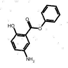 Nc1ccc(O)c(C(=O)Oc2ccccc2)c1